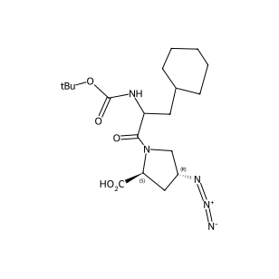 CC(C)(C)OC(=O)NC(CC1CCCCC1)C(=O)N1C[C@H](N=[N+]=[N-])C[C@H]1C(=O)O